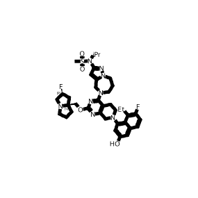 CCc1c(F)ccc2cc(O)cc(N3CCc4c(nc(OC[C@@]56CCCN5C[C@H](F)C6)nc4N4CCCn5nc(N(C(C)C)S(C)(=O)=O)cc5C4)C3)c12